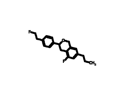 CCCc1cc(F)c2c(c1)COC(c1ccc(CCF)cc1)C2